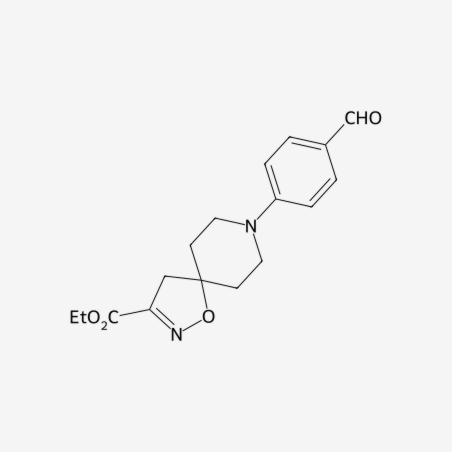 CCOC(=O)C1=NOC2(CCN(c3ccc(C=O)cc3)CC2)C1